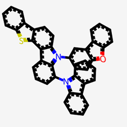 c1ccc2c(c1)oc1ccc(-n3c4ccc5c6ccccc6sc5c4c4cccc(-n5c6ccccc6c6ccccc65)c43)cc12